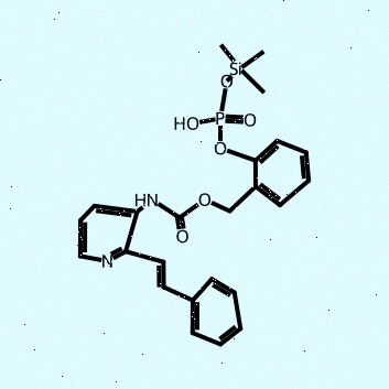 C[Si](C)(C)OP(=O)(O)Oc1ccccc1COC(=O)Nc1cccnc1C=Cc1ccccc1